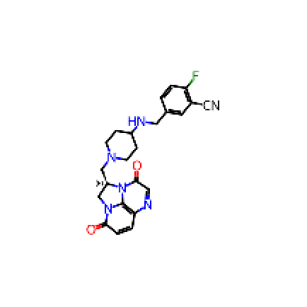 N#Cc1cc(CNC2CCN(C[C@@H]3Cn4c(=O)ccc5ncc(=O)n3c54)CC2)ccc1F